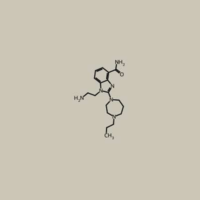 CCCN1CCCN(c2nc3c(C(N)=O)cccc3n2CCN)CC1